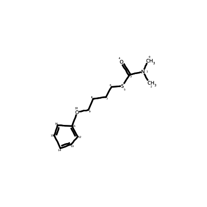 CN(C)C(=O)SCCCCOc1ccccc1